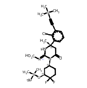 CC(C)(C)[Si](C)(C)O[C@H]1C[C@@H](N2C(=O)C[C@@](C)(c3cccc(C#C[Si](C)(C)C)c3Cl)N/C2=N\C(=O)O)CCC1(F)F